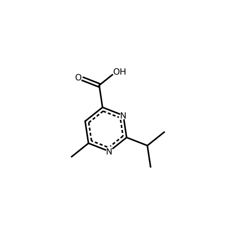 Cc1cc(C(=O)O)nc(C(C)C)n1